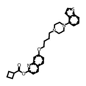 O=C(Oc1ccc2ccc(OCCCCN3CCN(c4cccc5sccc45)CC3)cc2n1)C1CCC1